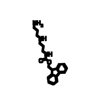 NCCCNCCCNC(=O)OCC1c2ccccc2-c2ccccc21